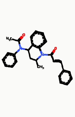 CC(=O)N(c1ccccc1)C1CC(C)N(C(=O)C=Cc2ccccc2)c2ccccc21